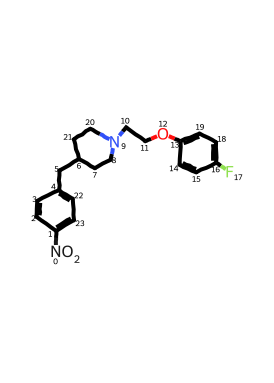 O=[N+]([O-])c1ccc(CC2CCN(CCOc3ccc(F)cc3)CC2)cc1